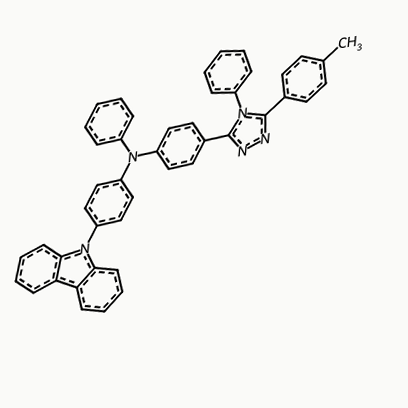 Cc1ccc(-c2nnc(-c3ccc(N(c4ccccc4)c4ccc(-n5c6ccccc6c6ccccc65)cc4)cc3)n2-c2ccccc2)cc1